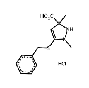 CN1NC(C)(C(=O)O)C=C1SCc1ccccc1.Cl